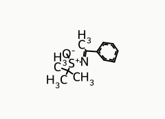 CC(=N[S+]([O-])C(C)(C)C)c1ccccc1